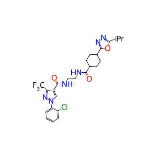 CC(C)c1nnc(C2CCC(C(=O)NCCNC(=O)c3cn(-c4ccccc4Cl)nc3C(F)(F)F)CC2)o1